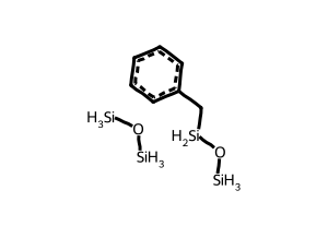 [SiH3]O[SiH2]Cc1ccccc1.[SiH3]O[SiH3]